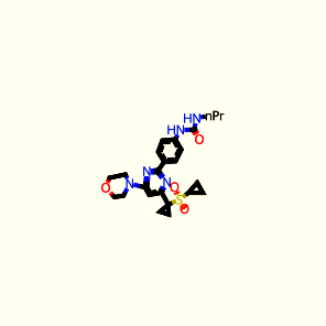 CCCNC(=O)Nc1ccc(-c2nc(N3CCOCC3)cc(C3(S(=O)(=O)C4CC4)CC3)n2)cc1